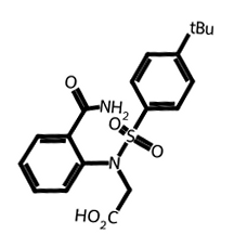 CC(C)(C)c1ccc(S(=O)(=O)N(CC(=O)O)c2ccccc2C(N)=O)cc1